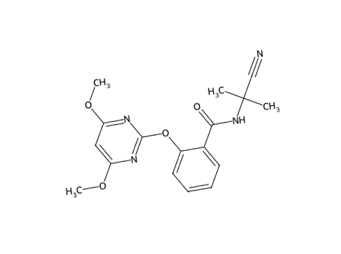 COc1cc(OC)nc(Oc2ccccc2C(=O)NC(C)(C)C#N)n1